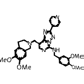 COc1ccc(CNc2ncc(CN3CCc4cc(OC)c(OC)cc4C3)c3nc(-c4ccncc4)nn23)cc1OC